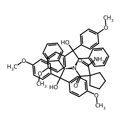 COc1ccc(C(O)(c2ccc(OC)cc2)[C@@H](c2ccccc2)N(C(=O)C2(C(N)=O)CCCC2)[C@H](c2ccccc2)C(O)(c2ccc(OC)cc2)c2ccc(OC)cc2)cc1